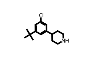 CC(C)(C)c1cc(Cl)cc(C2CCNCC2)c1